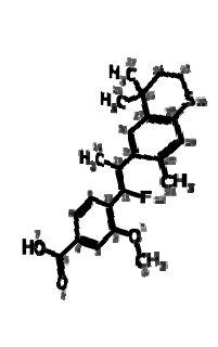 COc1cc(C(=O)O)ccc1C(F)=C(C)c1cc2c(cc1C)SCCC2(C)C